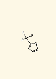 FC(F)(F)C1=CC=C[N]1